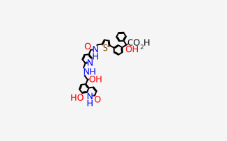 O=C(NCc1ccc(-c2cccc(C(O)(C(=O)O)c3ccccc3)c2)s1)c1ccc(CNCC(O)c2ccc(O)c3[nH]c(=O)ccc23)nc1